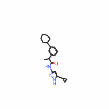 CC(C(=O)Nc1cc(C2CC2)[nH]n1)c1cccc(C2CCCCC2)c1